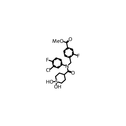 COC(=O)c1ccc(CN(C(=O)C2CCS(O)(O)CC2)c2ccc(F)c(Cl)c2)c(F)c1